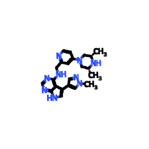 C[C@@H]1CN(c2ccnc(CNc3ncnc4[nH]cc(-c5cnn(C)c5)c34)c2)C[C@H](C)N1